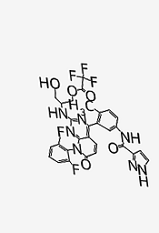 Cc1ccc(NC(=O)c2cc[nH]n2)cc1-c1nc(NC(CO)COC(=O)C(F)(F)F)nc2c1ccc(=O)n2-c1c(F)cccc1F